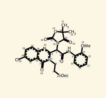 CCCCCCCCCCCCn1c(C(C(=O)Nc2ccccc2OC)N2C(=O)OC(C)(C)C2=O)nc2ccc(Cl)cc2c1=O